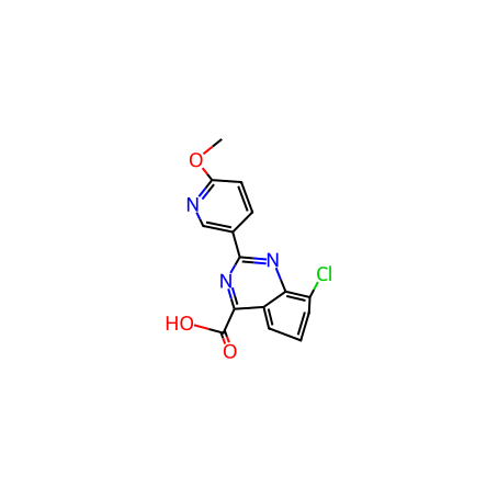 COc1ccc(-c2nc(C(=O)O)c3cccc(Cl)c3n2)cn1